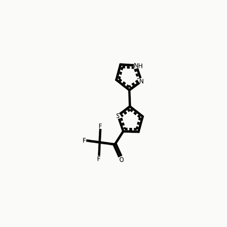 O=C(c1ccc(-c2cc[nH]n2)s1)C(F)(F)F